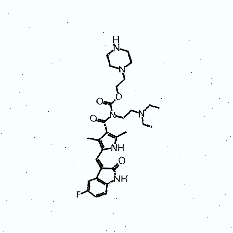 CCN(CC)CCN(C(=O)OCCN1CCNCC1)C(=O)c1c(C)[nH]c(/C=C2\C(=O)Nc3ccc(F)cc32)c1C